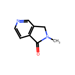 CN1Cc2cnc[c]c2C1=O